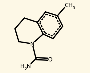 Cc1ccc2c(c1)CCCN2C(N)=O